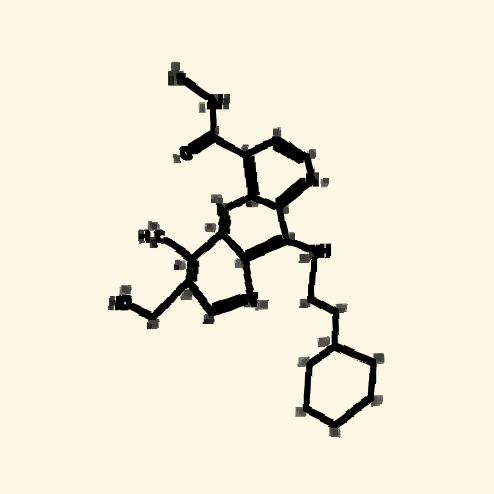 CCNC(=O)c1ccnc2c(NCCC3CCCCC3)c3ncc(CO)c(C)c3nc12